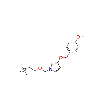 COc1ccc(COc2ccn(COCC[Si](C)(C)C)c2)cc1